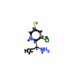 CC(N)c1ncc(F)cc1Cl